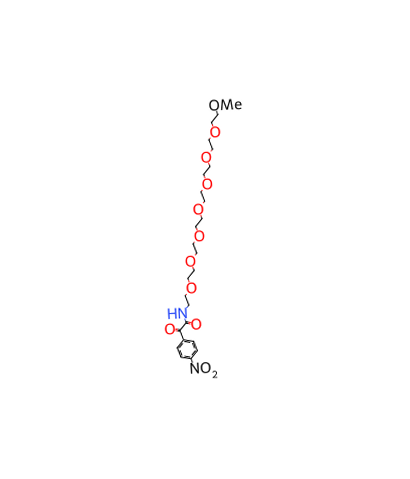 COCCOCCOCCOCCOCCOCCOCCOCCNC(=O)C(=O)c1ccc([N+](=O)[O-])cc1